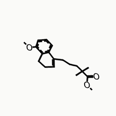 COC(=O)C(C)(C)CCCC1=CCCc2c(OC)cccc21